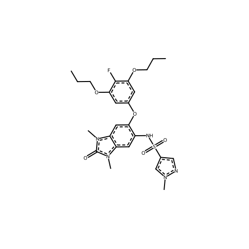 CCCOc1cc(Oc2cc3c(cc2NS(=O)(=O)c2cnn(C)c2)n(C)c(=O)n3C)cc(OCCC)c1F